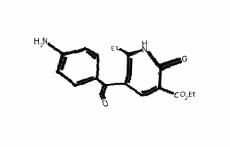 CCOC(=O)c1cc(C(=O)c2ccc(N)cc2)c(CC)[nH]c1=O